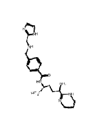 NC(CC[C@H](NC(=O)c1ccc(CNCc2ncc[nH]2)cc1)C(=O)O)C1=NCCCN1